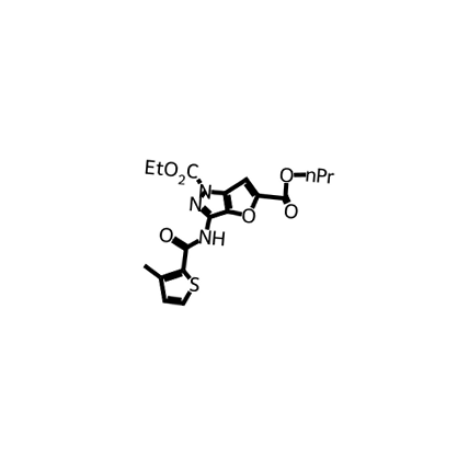 CCCOC(=O)c1cc2c(o1)c(NC(=O)c1sccc1C)nn2C(=O)OCC